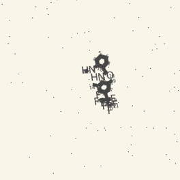 CCNc1ccccc1C(=O)Nc1c(C)cc(C(F)(C(F)(F)F)C(F)(F)F)cc1C